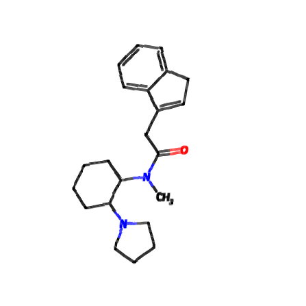 CN(C(=O)CC1=CCc2ccccc21)C1CCCCC1N1CCCC1